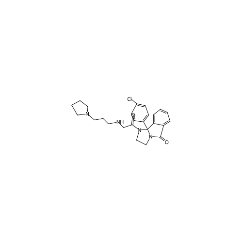 O=C(CNCCCN1CCCC1)N1CCN2C(=O)c3ccccc3C12c1ccc(Cl)cc1